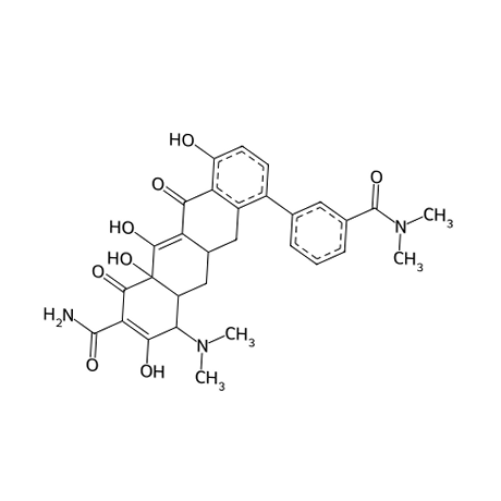 CN(C)C(=O)c1cccc(-c2ccc(O)c3c2CC2CC4C(N(C)C)C(O)=C(C(N)=O)C(=O)C4(O)C(O)=C2C3=O)c1